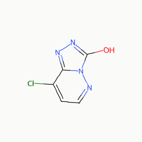 Oc1nnc2c(Cl)ccnn12